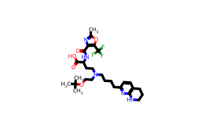 Cc1nc(C(=O)NC(CCN(CCCCc2ccc3c(n2)NCCC3)CCOC(C)(C)C)C(=O)O)c(C(F)(F)F)o1